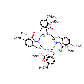 CC(=O)Nc1ccc(C[C@H]2CN(CC(=O)OC(C)(C)C)[C@@H](Cc3ccc(NC(C)=O)cc3)CN(CC(=O)OC(C)(C)C)[C@@H](Cc3ccc(NC(C)=O)cc3)CN(CC(=O)OC(C)(C)C)[C@@H](Cc3ccc(NC(C)=O)cc3)CN2CC(=O)OC(C)(C)C)cc1